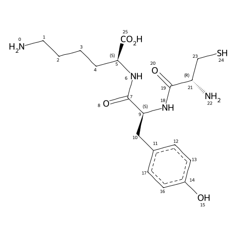 NCCCC[C@H](NC(=O)[C@H](Cc1ccc(O)cc1)NC(=O)[C@@H](N)CS)C(=O)O